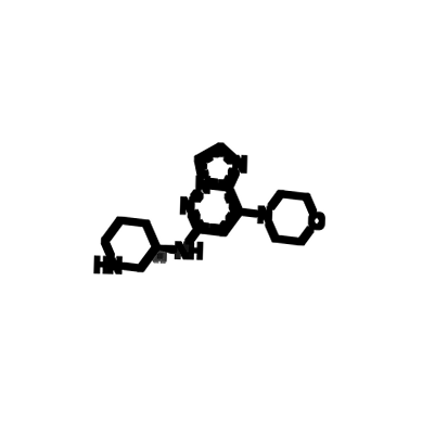 c1cn2nc(N[C@@H]3CCCNC3)cc(N3CCOCC3)c2n1